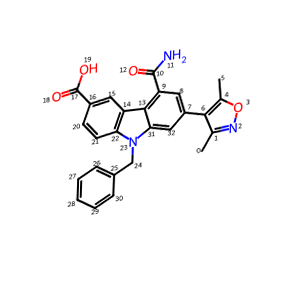 Cc1noc(C)c1-c1cc(C(N)=O)c2c3cc(C(=O)O)ccc3n(Cc3ccccc3)c2c1